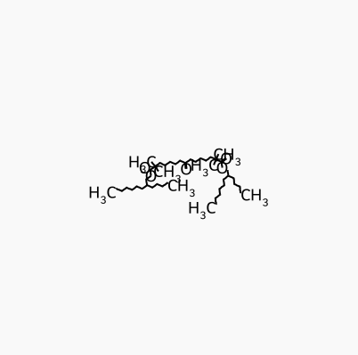 CCCCCCCC(CCCCC)COC(=O)C(C)(C)CCCCCC(=O)CCCCCC(C)(C)C(=O)OCC(CCCCC)CCCCCCC